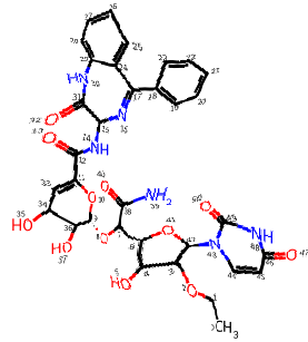 CCOC1C(O)[C@@H](C(O[C@H]2OC(C(=O)NC3N=C(c4ccccc4)c4ccccc4NC3=O)=CC(O)C2O)C(N)=O)O[C@H]1n1ccc(=O)[nH]c1=O